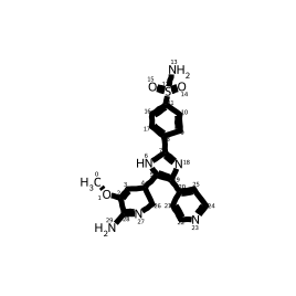 COC1=CC(c2[nH]c(-c3ccc(S(N)(=O)=O)cc3)nc2-c2ccncc2)CN=C1N